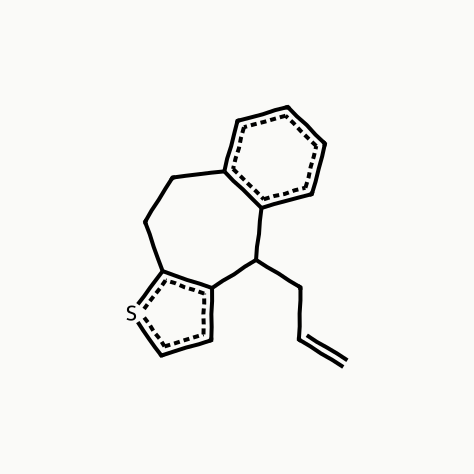 C=CCC1c2ccccc2CCc2sccc21